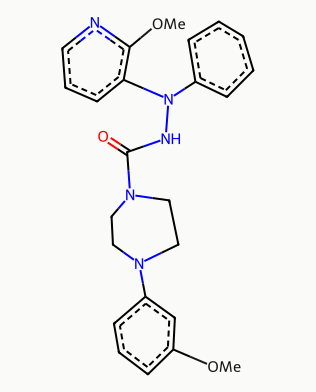 COc1cccc(N2CCN(C(=O)NN(c3ccccc3)c3cccnc3OC)CC2)c1